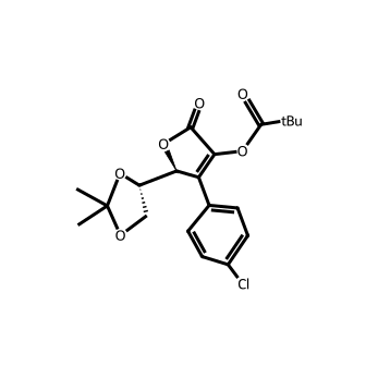 CC1(C)OC[C@@H]([C@H]2OC(=O)C(OC(=O)C(C)(C)C)=C2c2ccc(Cl)cc2)O1